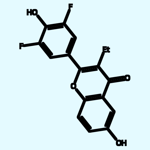 CCc1c(-c2cc(F)c(O)c(F)c2)oc2ccc(O)cc2c1=O